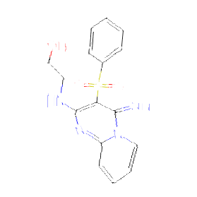 N=c1c(S(=O)(=O)c2ccccc2)c(NCCO)nc2ccccn12